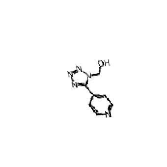 OCn1nnnc1-c1ccncc1